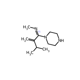 C=C(/C(=N\C)N1CCNCC1)C(C)C